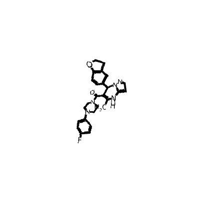 CC1=C(C(=O)N2CCN(c3ccc(F)cc3)CC2)C(c2ccc3c(c2)CCO3)n2nccc2N1